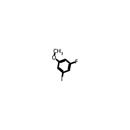 COc1cc(F)cc(I)c1